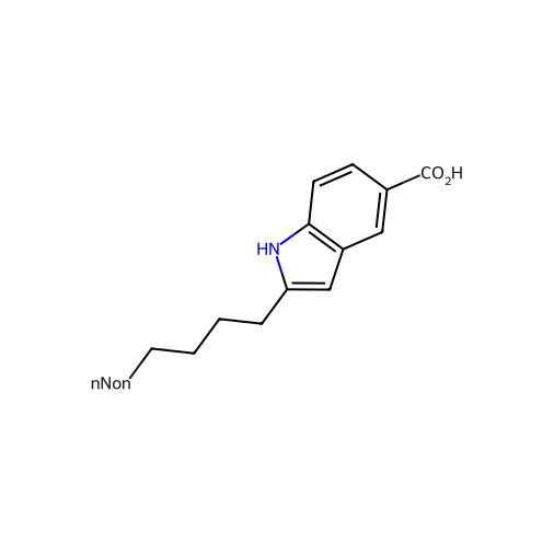 CCCCCCCCCCCCCc1cc2cc(C(=O)O)ccc2[nH]1